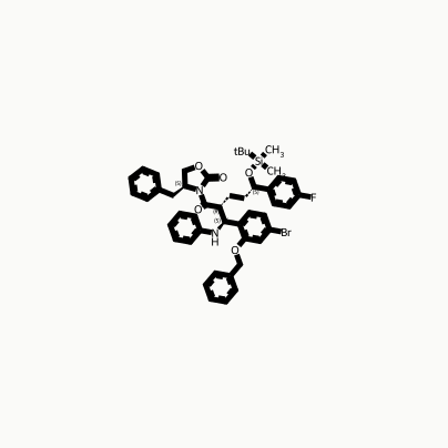 CC(C)(C)[Si](C)(C)O[C@@H](CC[C@@H](C(=O)N1C(=O)OC[C@@H]1Cc1ccccc1)[C@H](Nc1ccccc1)c1ccc(Br)cc1OCc1ccccc1)c1ccc(F)cc1